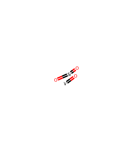 O=[Si]=O.[O]=[V]